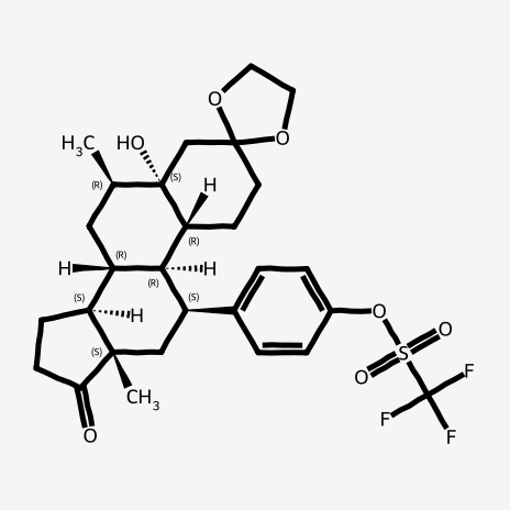 C[C@@H]1C[C@@H]2[C@H]([C@@H](c3ccc(OS(=O)(=O)C(F)(F)F)cc3)C[C@]3(C)C(=O)CC[C@@H]23)[C@H]2CCC3(C[C@]12O)OCCO3